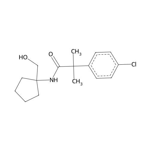 CC(C)(C(=O)NC1(CO)CCCC1)c1ccc(Cl)cc1